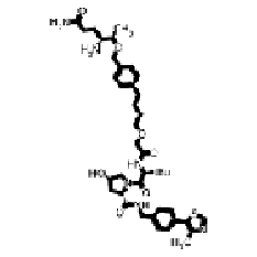 Cc1ncsc1-c1ccc(CNC(=O)[C@@H]2C[C@@H](O)CN2C(=O)[C@@H](NC(=O)COCCCCc2ccc(CO[C@H](C)[C@@H](N)CCC(N)=O)cc2)C(C)(C)C)cc1